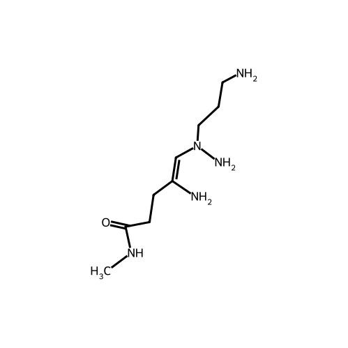 CNC(=O)CC/C(N)=C/N(N)CCCN